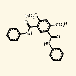 O=C(O)c1cc(C(=O)O)c(C(=O)Nc2ccccc2)cc1C(=O)Nc1ccccc1